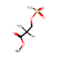 CC(=O)C(C)(COS(=O)(=O)C(F)(F)F)C(=O)OC(C)(C)C